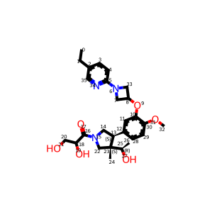 CCc1ccc(N2CC(Oc3cc([C@@H]4CN(C(=O)C(O)CO)C[C@@]4(C)[C@@H](C)O)ccc3OC)C2)nc1